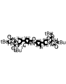 CC(C)(C)OC(=O)N=C(NC(=O)OC(C)(C)C)N1CC=C(c2ccc(NC(=O)c3ccc(C4=CCN(C(=NC(=O)OC(C)(C)C)NC(=O)OC(C)(C)C)CC4)c(C(F)(F)F)c3)cc2F)CC1